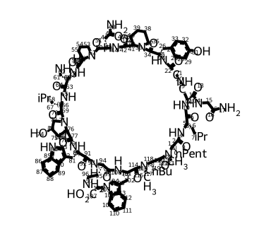 CCCCC[C@H]1C(=O)N[C@@H](CC(C)C)C(=O)N[C@H](C(=O)NCC(N)=O)CNCC(=O)N[C@@H](Cc2ccc(O)cc2)C(=O)N2CCCC[C@H]2C(=O)N[C@@H](CC(N)=O)C(=O)N2CCC[C@H]2C(=O)N[C@@H](CN)C(=O)N[C@@H](CC(C)C)C(=O)N2C[C@H](O)C[C@H]2C(=O)N[C@@H](Cc2c[nH]c3ccccc23)C(=O)N[C@@H](CCN)C(=O)N[C@@H](Cc2cn(CC(=O)O)c3ccccc23)C(=O)N(C)[C@@H](CCCC)C(=O)N1C